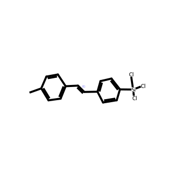 Cc1ccc(/C=C/c2ccc([Si](Cl)(Cl)Cl)cc2)cc1